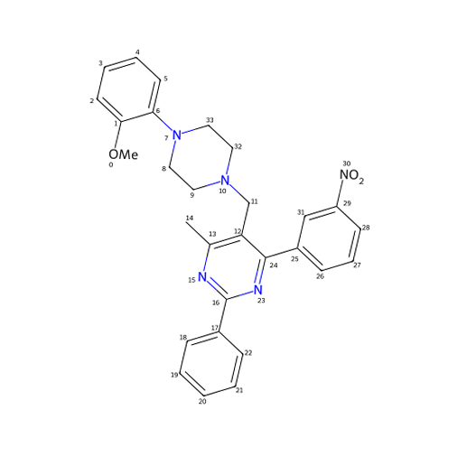 COc1ccccc1N1CCN(Cc2c(C)nc(-c3ccccc3)nc2-c2cccc([N+](=O)[O-])c2)CC1